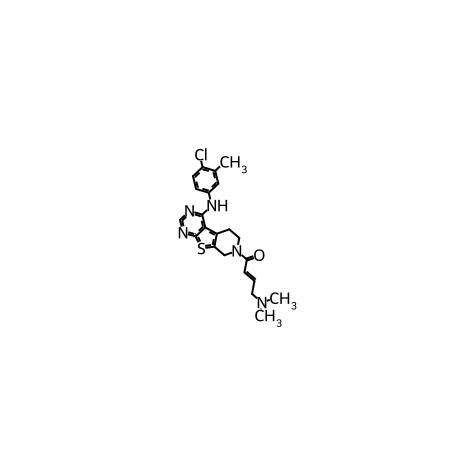 Cc1cc(Nc2ncnc3sc4c(c23)CCN(C(=O)/C=C/CN(C)C)C4)ccc1Cl